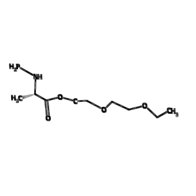 CCOCCOCCOC(=O)[C@H](C)NP